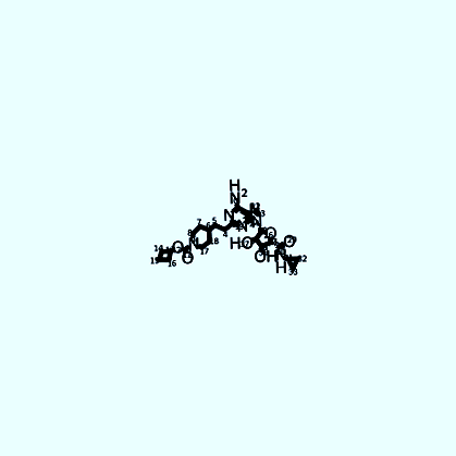 Nc1nc(CCC2CCN(C(=O)OC3CCC3)CC2)nc2c1ncn2[C@@H]1O[C@H](C(=O)NC2CC2)C(O)C1O